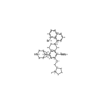 CN1CCCC1COc1nc(N2C3CCC2CNC3)c2c(c1C#N)CN(c1cccc3cccc(Br)c13)CC2